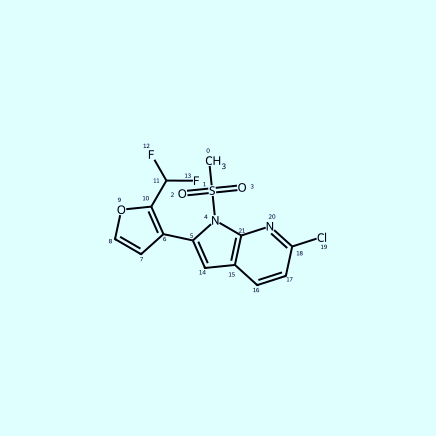 CS(=O)(=O)n1c(-c2ccoc2C(F)F)cc2ccc(Cl)nc21